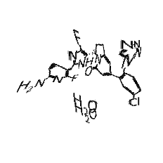 Nc1ccc(-c2nc(F)c([C@@H]3CCc4cc(-c5cc(Cl)ccc5-n5cnnn5)cc(=O)n43)[nH]2)c(F)n1.O.O